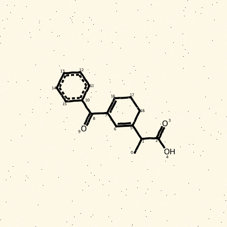 CC(C(=O)O)C1=CC(C(=O)c2ccccc2)=CCC1